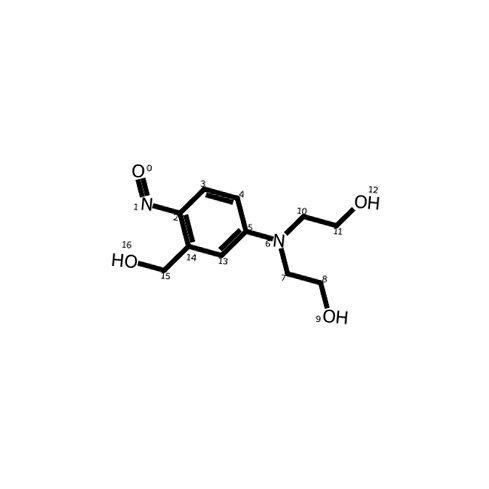 O=Nc1ccc(N(CCO)CCO)cc1CO